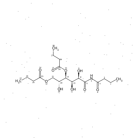 CCCC(=O)NC(=O)[C@H](O)[C@@H](O)[C@H](OC(=O)CCC)[C@H](O)COC(=O)CCC